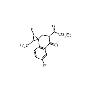 CCOC(=O)C(=O)C1CC2(c3ccc(Br)cc3C1=O)C(C)C2F